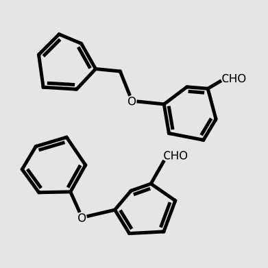 O=Cc1cccc(OCc2ccccc2)c1.O=Cc1cccc(Oc2ccccc2)c1